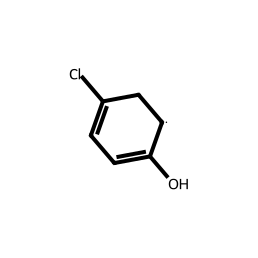 OC1=CC=C(Cl)C[CH]1